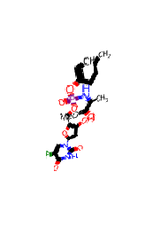 C=C/C=C\C(=C/C)OP(=O)(N[C@@H](C)C(=O)OC)OC[C@H]1O[C@@H](n2cc(F)c(=O)[nH]c2=O)CC1O